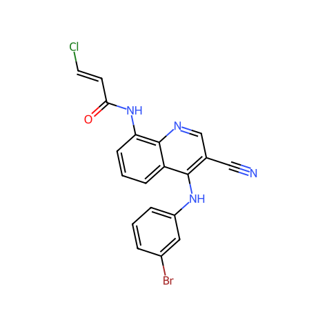 N#Cc1cnc2c(NC(=O)/C=C/Cl)cccc2c1Nc1cccc(Br)c1